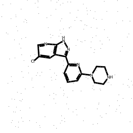 Clc1cnc2[nH]nc(-c3cccc(N4CCNCC4)n3)c2c1